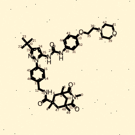 CN1C(=O)C2(C)CC(C)(C(=O)NCc3ccc(-n4nc(C(C)(C)C)cc4NC(=O)Nc4ccc(OCCN5CCOCC5)cc4)cc3)CC(C)(C2)C1=O